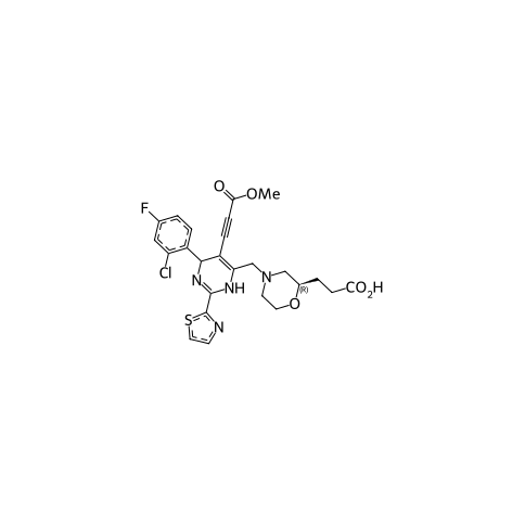 COC(=O)C#CC1=C(CN2CCO[C@H](CCC(=O)O)C2)NC(c2nccs2)=NC1c1ccc(F)cc1Cl